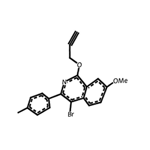 C#CCOc1nc(-c2ccc(C)cc2)c(Br)c2ccc(OC)cc12